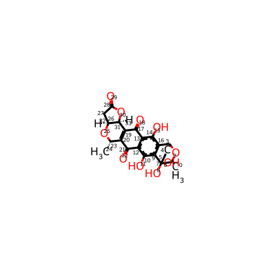 CC1OC2CC(O)C1(O)c1c(O)c3c(c(O)c12)C(=O)C1=C(C3=O)[C@H](C)O[C@H]2CC(=O)O[C@@H]12